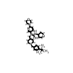 CC(C)(C)c1ccc(CN2CCC(CN(c3ccc(N4CCOCC4)nc3)C(O)NC3CCOCC3)CC2)cc1